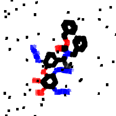 CC[C@@H]([C@@H]1CC[C@@H](N=[N+]=[N-])[C@@H](O[C@H]2[C@H](O)[C@@H](O)[C@H](N=[N+]=[N-])C[C@@H]2N=[N+]=[N-])C1)N(Cc1ccccc1)C(=O)OCc1ccccc1